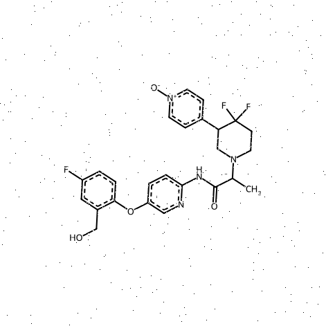 CC(C(=O)Nc1ccc(Oc2ccc(F)cc2CO)cn1)N1CCC(F)(F)C(c2cc[n+]([O-])cc2)C1